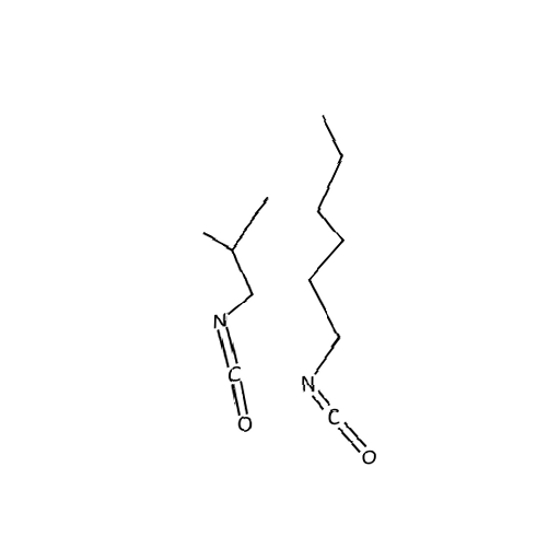 CC(C)CN=C=O.CCCCCCN=C=O